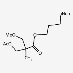 CCCCCCCCCCCCOC(=O)C(C)(COC)COC(C)=O